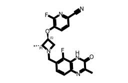 Cc1nc2ccc(CN3C[C@H](Oc4ccc(C#N)nc4F)[C@H]3C)c(F)c2[nH]c1=O